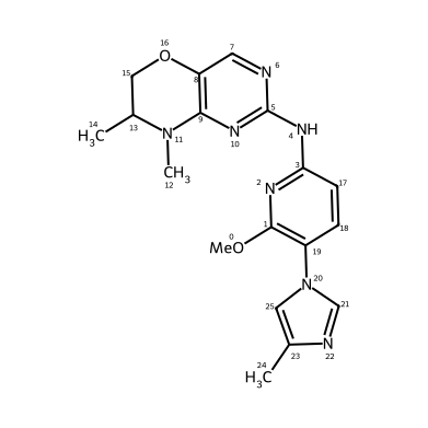 COc1nc(Nc2ncc3c(n2)N(C)C(C)CO3)ccc1-n1cnc(C)c1